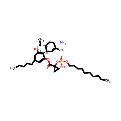 C=C(C)[C@@H]1CCC(C)=C[C@H]1c1c(O)cc(CCCCC)cc1OC(=O)C1(OP(=O)(O)OCCCCCCCCCC)CC1.N